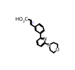 O=C(O)/C=C/c1cccc(-c2cccc(N3CCOCC3)n2)c1